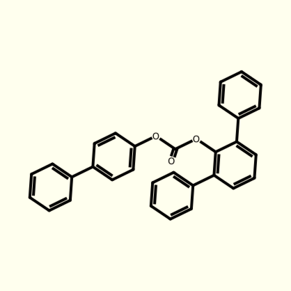 O=C(Oc1ccc(-c2ccccc2)cc1)Oc1c(-c2ccccc2)cccc1-c1ccccc1